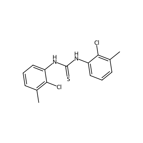 Cc1cccc(NC(=S)Nc2cccc(C)c2Cl)c1Cl